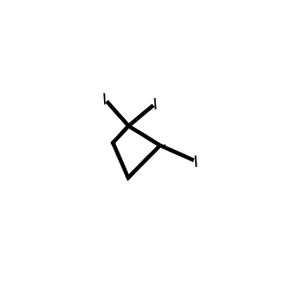 I[C]1CCC1(I)I